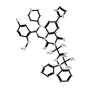 COc1ccc(F)cc1[C@H](Cn1c(=O)n(C(C)(C)C(=O)O[Si](c2ccccc2)(c2ccccc2)C(C)(C)C)c(=O)c2cc(-c3ncco3)ccc21)OC1CCOCC1